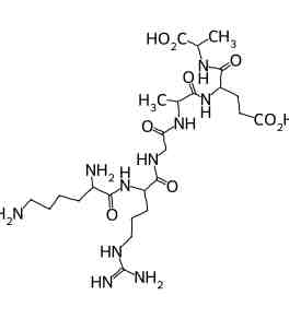 CC(NC(=O)C(CCC(=O)O)NC(=O)C(C)NC(=O)CNC(=O)C(CCCNC(=N)N)NC(=O)C(N)CCCCN)C(=O)O